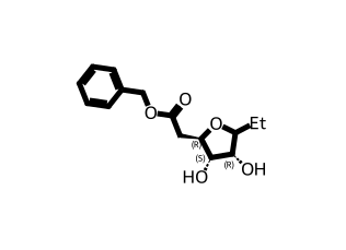 CCC1O[C@H](CC(=O)OCc2ccccc2)[C@@H](O)[C@H]1O